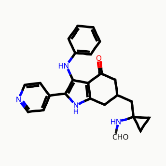 O=CNC1(CC2CC(=O)c3c([nH]c(-c4ccncc4)c3Nc3ccccc3)C2)CC1